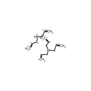 C=CCN(CC=C)CC=C.C=CCNCC=C